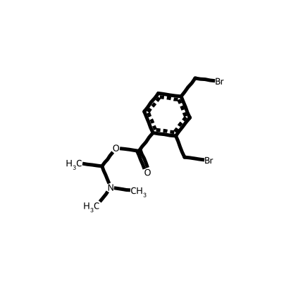 CC(OC(=O)c1ccc(CBr)cc1CBr)N(C)C